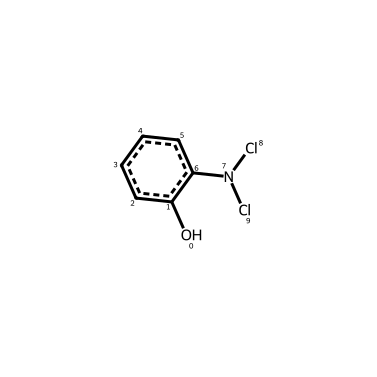 Oc1ccccc1N(Cl)Cl